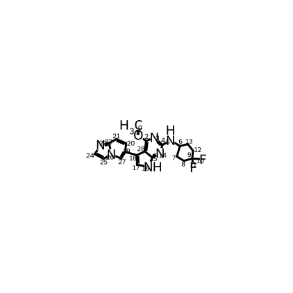 COc1nc(NC2CCC(F)(F)CC2)nc2[nH]cc(-c3ccc4nccn4c3)c12